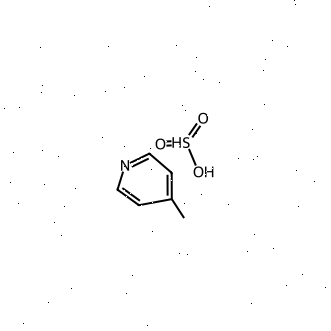 Cc1ccncc1.O=[SH](=O)O